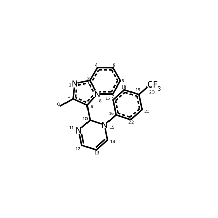 Cc1nc2ccccn2c1C1N=CC=CN1c1ccc(C(F)(F)F)cc1